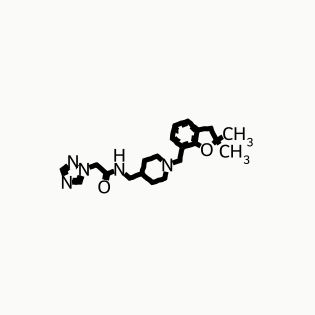 CC1(C)Cc2cccc(CN3CCC(CNC(=O)Cn4cncn4)CC3)c2O1